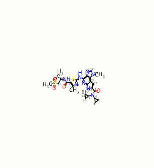 CCn1c(C(=O)N(C2CC2)C2CC2)cc2c3c(ncn3C)c(Nc3nc(C)c(C(=O)NC(C)CS(C)(=O)=O)s3)nc21